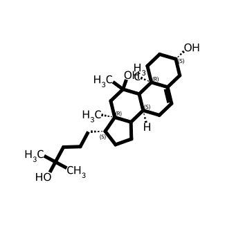 CC(C)(O)CCC[C@H]1CCC2[C@@H]3CC=C4C[C@@H](O)CC[C@]4(C)C3C(C)(O)C[C@@]21C